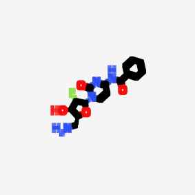 NC[C@H]1O[C@@H](n2ccc(NC(=O)c3ccccc3)nc2=O)[C@H](F)[C@@H]1O